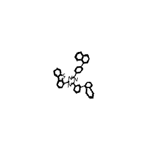 c1cc(-c2nc(-c3ccc(-c4cccc5ccccc45)cc3)nc(-c3cccc4c3sc3ccccc34)n2)cc(-c2cccc3ccccc23)c1